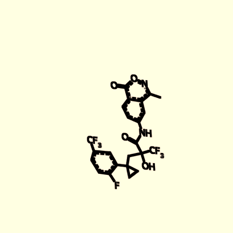 Cc1noc(=O)c2ccc(NC(=O)C(O)(CC3(c4cc(C(F)(F)F)ccc4F)CC3)C(F)(F)F)cc12